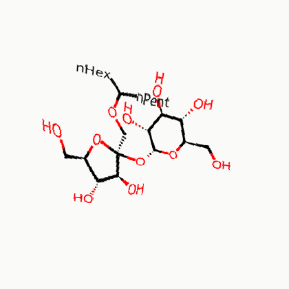 CCCCCCC(CCCCC)OC[C@@]1(O[C@H]2O[C@H](CO)[C@@H](O)[C@H](O)[C@H]2O)O[C@H](CO)[C@@H](O)[C@@H]1O